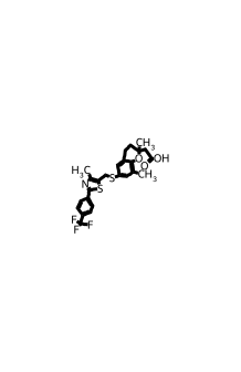 Cc1cc(SCc2sc(-c3ccc(C(F)(F)F)cc3)nc2C)cc2c1OC(C)(CC(=O)O)CC2